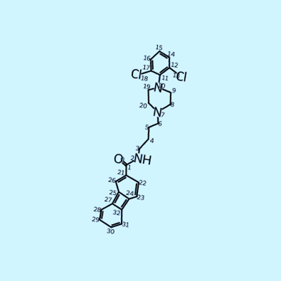 O=C(NCCCCN1CCN(c2c(Cl)cccc2Cl)CC1)c1ccc2c(c1)=c1ccccc1=2